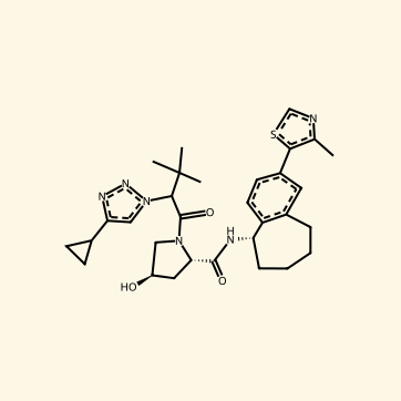 Cc1ncsc1-c1ccc2c(c1)CCCC[C@@H]2NC(=O)[C@@H]1C[C@@H](O)CN1C(=O)C(n1cc(C2CC2)nn1)C(C)(C)C